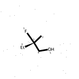 CC[C@](C)(F)CO